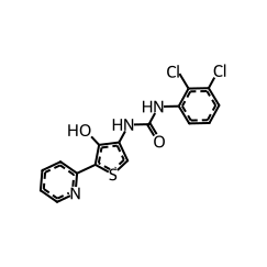 O=C(Nc1csc(-c2ccccn2)c1O)Nc1cccc(Cl)c1Cl